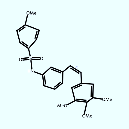 COc1ccc(S(=O)(=O)Nc2cccc(/C=C\c3cc(OC)c(OC)c(OC)c3)c2)cc1